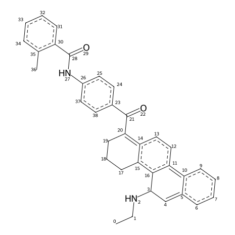 CCNC1C=c2ccccc2=c2ccc3c(c21)CCCC=3C(=O)c1ccc(NC(=O)c2ccccc2C)cc1